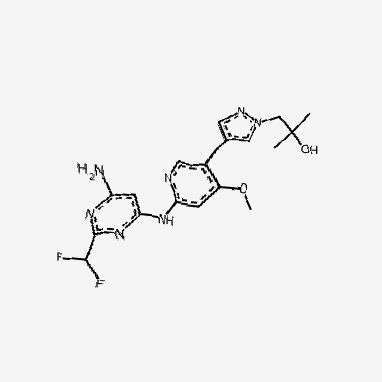 COc1cc(Nc2cc(N)nc(C(F)F)n2)ncc1-c1cnn(CC(C)(C)O)c1